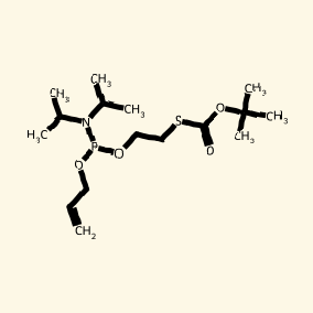 C=CCOP(OCCSC(=O)OC(C)(C)C)N(C(C)C)C(C)C